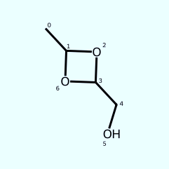 CC1OC(CO)O1